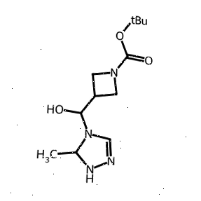 CC1NN=CN1C(O)C1CN(C(=O)OC(C)(C)C)C1